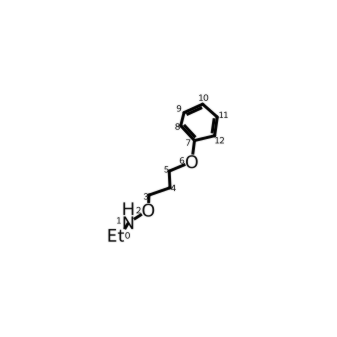 CCNOCCCOc1ccccc1